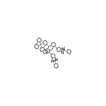 Cn1c(-c2ccccc2)nc2ccc(-c3cccc4c(-c5cccc6c5-c5c(ccc7ccccc57)C65c6ccccc6-c6ccccc65)c5cccc(-c6ccc7nc(-c8ccccc8)n(C)c7c6)c5cc34)cc21